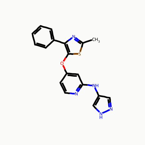 Cc1nc(-c2ccccc2)c(Oc2ccnc(Nc3cn[nH]c3)c2)s1